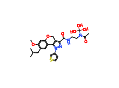 COc1cc2c(cc1C=C(C)C)-c1c(c(C(=O)NCCN(C(C)=O)C(O)(O)O)nn1-c1ccsc1)CO2